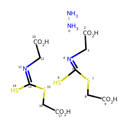 N.N.O=C(O)CN=C(S)SCC(=O)O.O=C(O)CN=C(S)SCC(=O)O